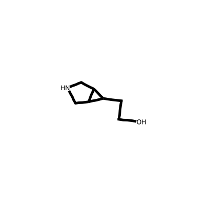 OCCC1C2CNCC12